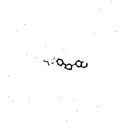 CC(C)[C@H](NS(=O)(=O)c1ccc2c(c1)oc1ccc(-c3ccc4ncccc4c3)cc12)C(=O)O